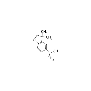 CC(S)c1ccc2c(c1)C(C)(C)CO2